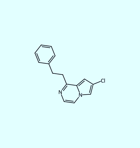 Clc1cc2c(CCc3ccccc3)nccn2c1